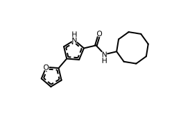 O=C(NC1CCCCCCC1)c1cc(-c2ccco2)c[nH]1